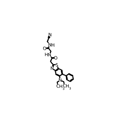 CCN(CC)c1cc2nc(CC(=O)NCC(=O)NCC#N)sc2cc1-c1ccccc1